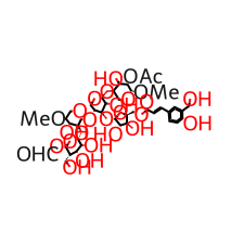 CO[C@@H]1OC[C@@H](O[C@@H]2OC[C@@H](O[C@@H]3OC[C@@H](OC)C(O)C3O[C@H]3OC(OC=O)[C@@H](CO)[C@H](O)C3O)[C@H](O[C@@H]3O[C@@H](COC(=O)/C=C/c4ccc(O)c(CO)c4)[C@@H](O)C3O)C2O)C(O)C1OC(C)=O